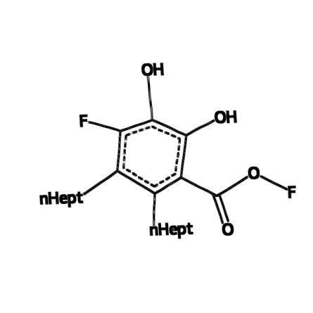 CCCCCCCc1c(F)c(O)c(O)c(C(=O)OF)c1CCCCCCC